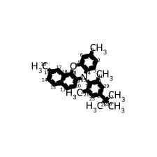 Cc1ccc2c(c1)Oc1c(ccc3ccc(C)cc13)N2c1c(C)cc(C(C)(C)C)cc1C